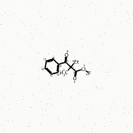 CCC(C)(C(=O)OF)C(=O)c1ccccc1